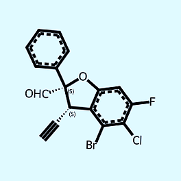 C#C[C@H]1c2c(cc(F)c(Cl)c2Br)O[C@]1(C=O)c1ccccc1